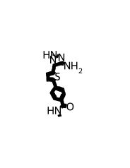 CNC(=O)c1ccc(-c2ccc(-c3n[nH]nc3N)s2)cc1